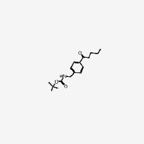 CCCCC(=O)c1ccc(CNC(=O)OC(C)(C)C)cc1